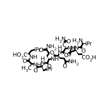 CC(C)C[C@H](NC(=O)[C@H](C)NC(=O)[C@H](CC(C)C)NC(=O)[C@H](CCC(N)=O)NC(=O)[C@H](CCC(N)=O)NC(=O)[C@H](CC(N)=O)NC(=O)[C@H](CCC(=O)O)NC(=O)[C@@H](N)C(C)C)C(=O)O